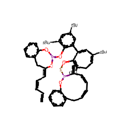 C=C/C=C\C=C1/Cc2ccccc2OP(Oc2c(C3=CC(C(C)(C)C)=CCC(C(C)(C)C)=C3OSP3Oc4ccccc4C/C=C\C=C/C3=C)cc(C(C)(C)C)cc2C(C)(C)C)O1